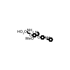 COc1cc2c(Oc3ccc(NCc4ccccc4)cc3)ccnc2cc1OCCC(N)C(=O)O